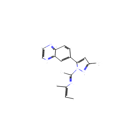 C/C=C(C)\N=C(/CC)n1nc(C=O)cc1-c1ccc2nccnc2c1